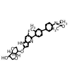 Cc1cc(-c2ccc(N=S(C)(C)=O)cc2)ccc1-c1nc2cc(O[C@@H]3CO[C@H]4[C@@H]3OC[C@H]4O)[nH]c2cc1F